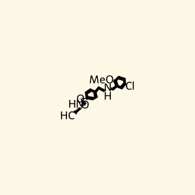 C#CCNS(=O)(=O)c1ccc(CCNCc2cc(Cl)ccc2OC)cc1